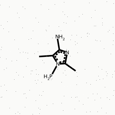 Cc1nc(N)c(C)n1P